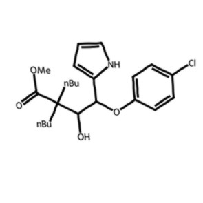 CCCCC(CCCC)(C(=O)OC)C(O)C(Oc1ccc(Cl)cc1)c1ccc[nH]1